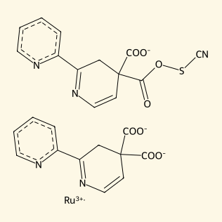 N#CSOC(=O)C1(C(=O)[O-])C=CN=C(c2ccccn2)C1.O=C([O-])C1(C(=O)[O-])C=CN=C(c2ccccn2)C1.[Ru+3]